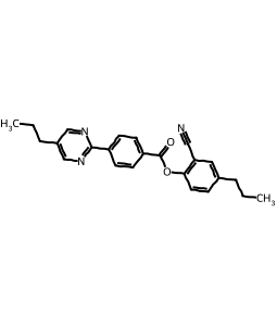 CCCc1cnc(-c2ccc(C(=O)Oc3ccc(CCC)cc3C#N)cc2)nc1